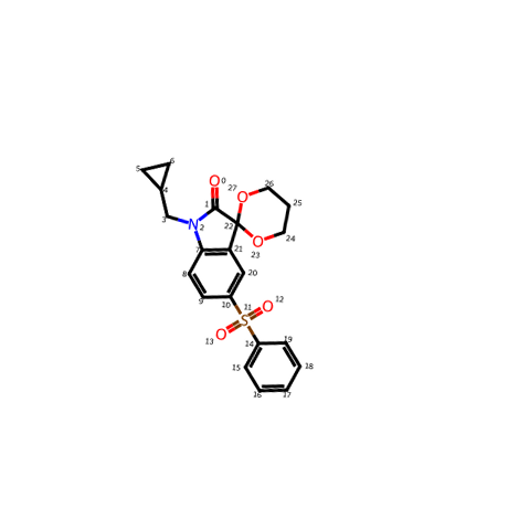 O=C1N(CC2CC2)c2ccc(S(=O)(=O)c3ccccc3)cc2C12OCCCO2